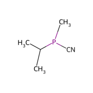 CC(C)P(C)C#N